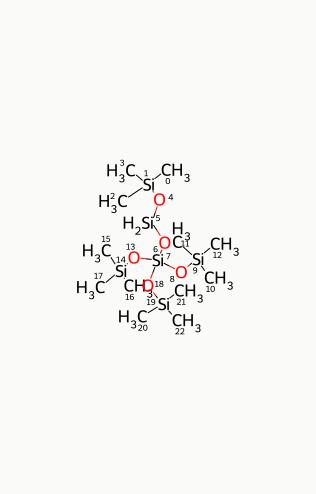 C[Si](C)(C)O[SiH2]O[Si](O[Si](C)(C)C)(O[Si](C)(C)C)O[Si](C)(C)C